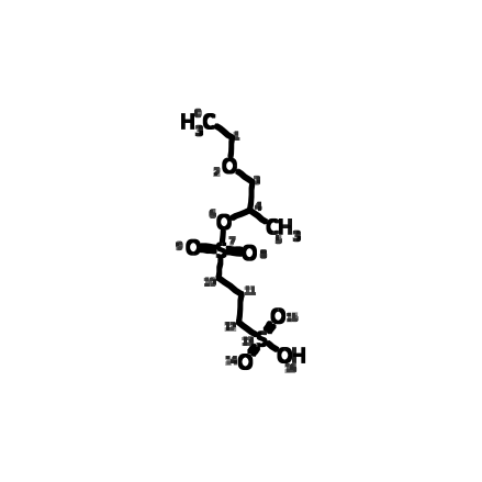 CCOCC(C)OS(=O)(=O)CCCS(=O)(=O)O